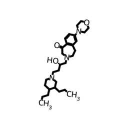 CCCC1CCN(CC[C@@H](O)CN2CCc3cc(N4CCOCC4)ccc3C(=O)C2)CC1CCC